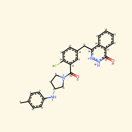 Cc1ccc(N[C@@H]2CCN(C(=O)c3cc(Cc4n[nH]c(=O)c5ccccc45)ccc3F)C2)cc1